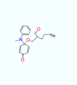 C#CCCC(C=O)COC1(N(C)c2ccccc2)C=CC(=O)C=C1